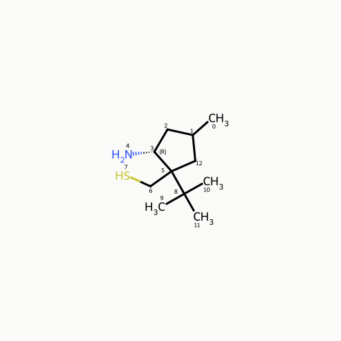 CC1C[C@@H](N)C(CS)(C(C)(C)C)C1